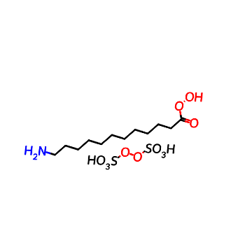 NCCCCCCCCCCCC(=O)OO.O=S(=O)(O)OOS(=O)(=O)O